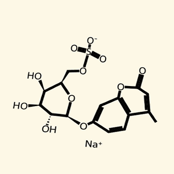 Cc1cc(=O)oc2cc(O[C@@H]3O[C@H](COS(=O)(=O)[O-])[C@H](O)[C@H](O)[C@H]3O)ccc12.[Na+]